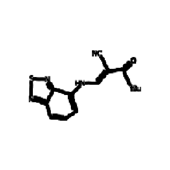 CC(C)(C)C(=O)/C(C#N)=C/Nc1cccc2nsnc12